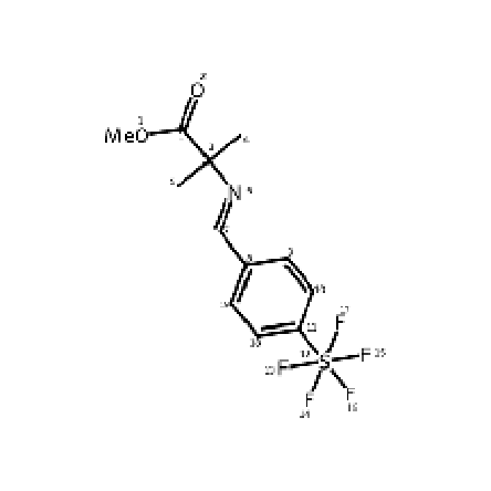 COC(=O)C(C)(C)N=Cc1ccc(S(F)(F)(F)(F)F)cc1